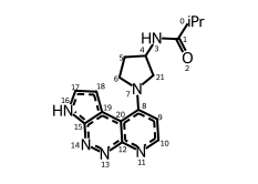 CC(C)C(=O)NC1CCN(c2ccnc3nnc4[nH]ccc4c23)C1